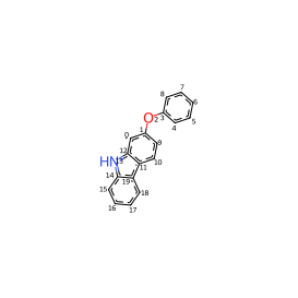 [c]1c(Oc2ccccc2)ccc2c1[nH]c1ccccc12